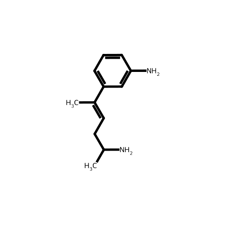 CC(=CCC(C)N)c1cccc(N)c1